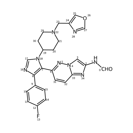 O=CNc1cn2nc(-c3c(-c4ccc(F)cc4)ncn3C3CCN(Cc4cocn4)CC3)ccc2n1